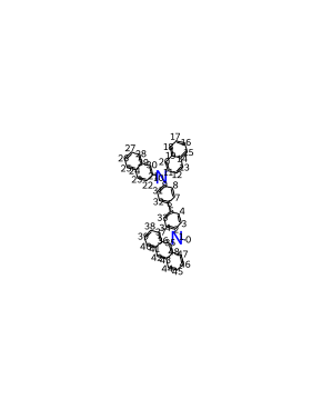 CN(c1ccc(-c2ccc(N(c3ccc4ccccc4c3)c3ccc4ccccc4c3)cc2)cc1)c1c2ccccc2cc2ccccc12